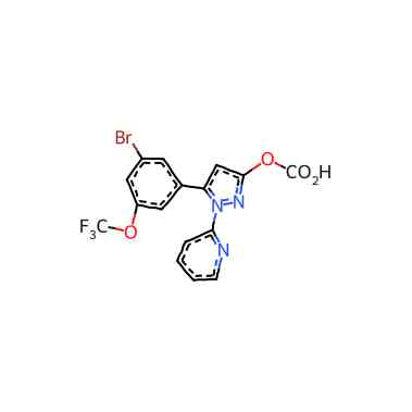 O=C(O)Oc1cc(-c2cc(Br)cc(OC(F)(F)F)c2)n(-c2ccccn2)n1